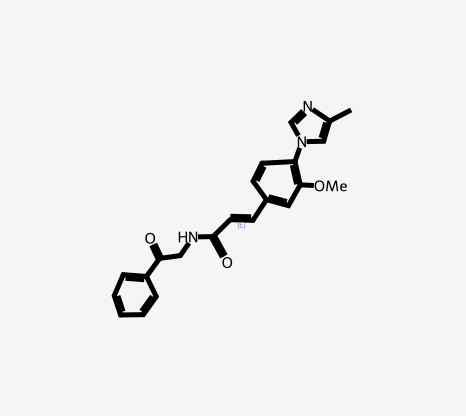 COc1cc(/C=C/C(=O)NCC(=O)c2ccccc2)ccc1-n1cnc(C)c1